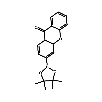 CC1(C)OB(C2=CC3Oc4ccccc4C(=O)C3C=C2)OC1(C)C